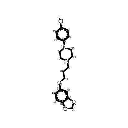 Clc1ccc(N2CCN(CCCOc3ccc4c(c3)OCO4)CC2)cc1